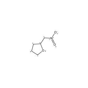 O=[N+]([O-])CC1CCCO1